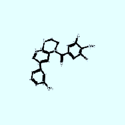 COc1c(Br)cc(C(=O)N2CCOc3ncc(-c4cccc([N+](=O)[O-])c4)cc32)cc1Br